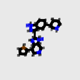 c1cncc(-c2ccc3[nH]nc(-c4nc5c(-c6cccs6)cncc5[nH]4)c3c2)c1